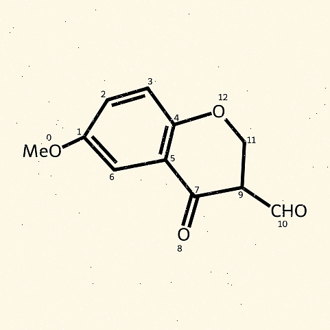 COc1ccc2c(c1)C(=O)C(C=O)CO2